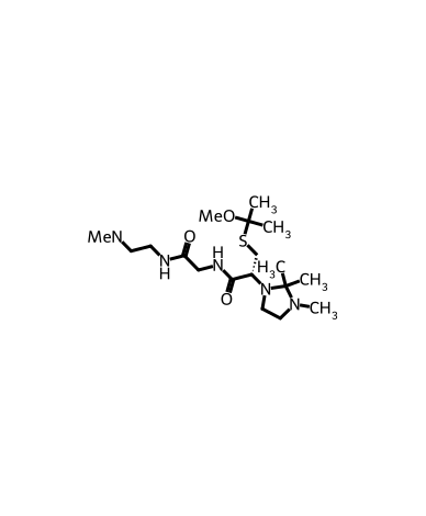 CNCCNC(=O)CNC(=O)[C@H](CSC(C)(C)OC)N1CCN(C)C1(C)C